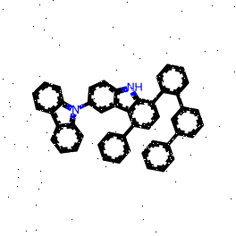 c1ccc(-c2cccc(-c3ccccc3-c3ccc(-c4ccccc4)c4c3[nH]c3ccc(-n5c6ccccc6c6ccccc65)cc34)c2)cc1